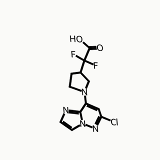 O=C(O)C(F)(F)C1CCN(c2cc(Cl)nn3ccnc23)C1